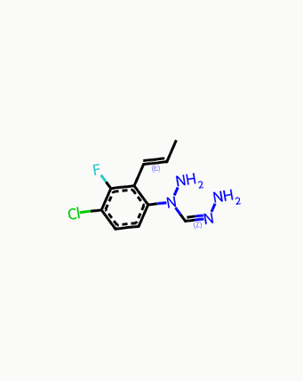 C/C=C/c1c(N(N)/C=N\N)ccc(Cl)c1F